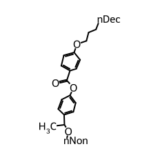 CCCCCCCCCCCCCOc1ccc(C(=O)Oc2ccc(C(C)OCCCCCCCCC)cc2)cc1